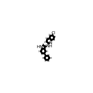 Clc1ccc2nc(Nc3c[nH]c4ccc(-c5ccccc5)cc34)ccc2c1